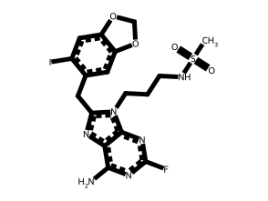 CS(=O)(=O)NCCCn1c(Cc2cc3c(cc2I)OCO3)nc2c(N)nc(F)nc21